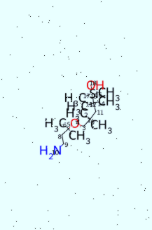 CC(C)(COC(C)(C)CCN)CC(C)(C)[Si](C)(C)O